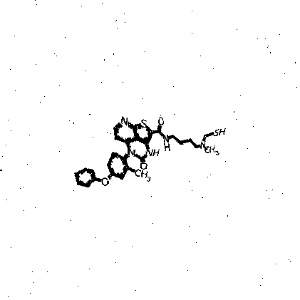 Cc1cc(Oc2ccccc2)ccc1N1C(=O)Nc2c(C(=O)NCCCCN(C)CS)sc3nccc1c23